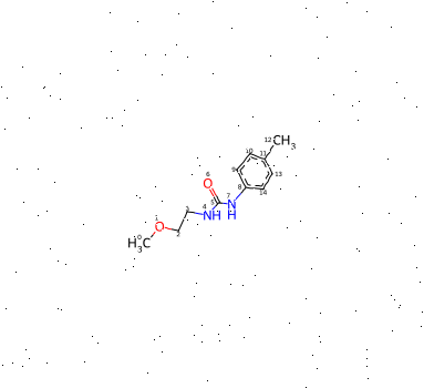 COCCNC(=O)Nc1ccc(C)cc1